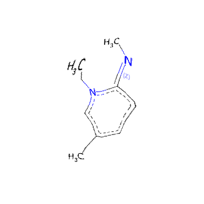 C/N=c1/ccc(C)cn1C